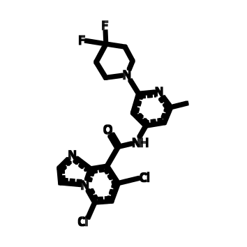 Cc1cc(NC(=O)c2c(Cl)cc(Cl)n3ccnc23)cc(N2CCC(F)(F)CC2)n1